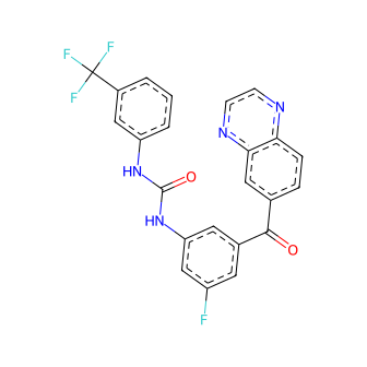 O=C(Nc1cc(F)cc(C(=O)c2ccc3nccnc3c2)c1)Nc1cccc(C(F)(F)F)c1